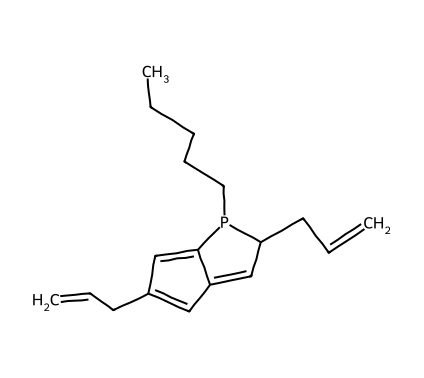 C=CCC1=CC2=CC(CC=C)P(CCCCC)C2=C1